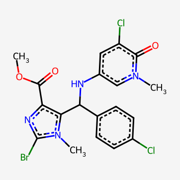 COC(=O)c1nc(Br)n(C)c1C(Nc1cc(Cl)c(=O)n(C)c1)c1ccc(Cl)cc1